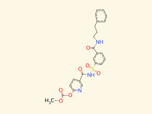 COC(=O)Oc1ccc(C(=O)NS(=O)(=O)c2cccc(C(=O)NCCCc3ccccc3)c2)cn1